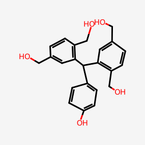 OCc1ccc(CO)c(C(c2ccc(O)cc2)c2cc(CO)ccc2CO)c1